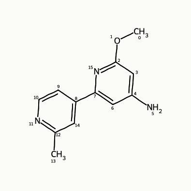 COc1cc(N)cc(-c2ccnc(C)c2)n1